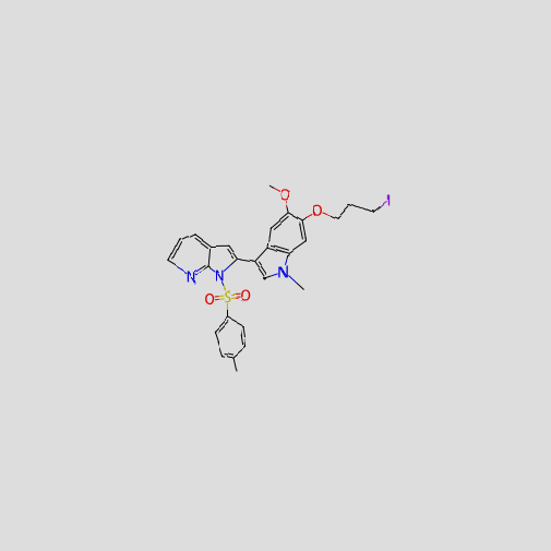 COc1cc2c(-c3cc4cccnc4n3S(=O)(=O)c3ccc(C)cc3)cn(C)c2cc1OCCCI